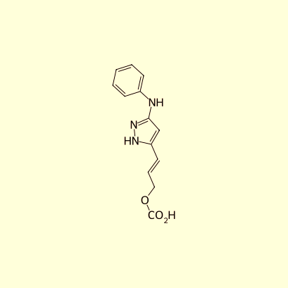 O=C(O)OCC=Cc1cc(Nc2ccccc2)n[nH]1